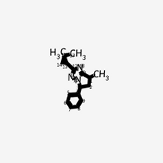 CC1CC(c2ccccc2)n2nc(C3CC3(C)C)nc21